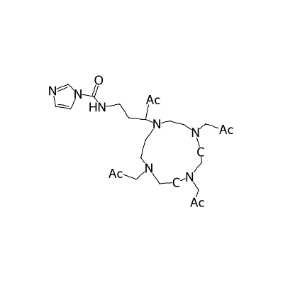 CC(=O)CN1CCN(CC(C)=O)CCN(C(CCNC(=O)n2ccnc2)C(C)=O)CCN(CC(C)=O)CC1